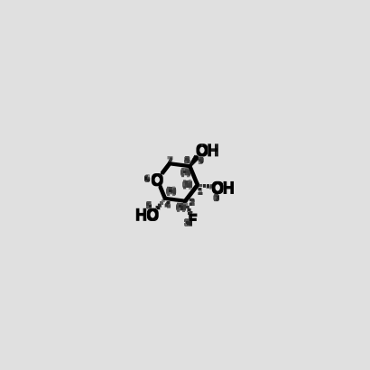 O[C@@H]1[C@H](F)[C@H](O)OC[C@H]1O